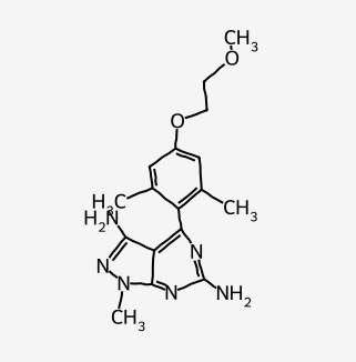 COCCOc1cc(C)c(-c2nc(N)nc3c2c(N)nn3C)c(C)c1